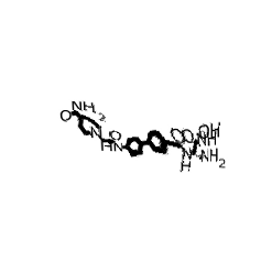 NC[C@H](NC(=O)c1ccc(-c2ccc(NC(=O)CN3CCC(C(N)=O)CC3)cc2)cc1)C(=O)NO